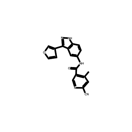 Cc1cc(C#N)ncc1C(=O)Nc1ccc2[nH]nc(-c3ccoc3)c2c1